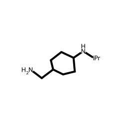 CC(C)NC1CCC(CN)CC1